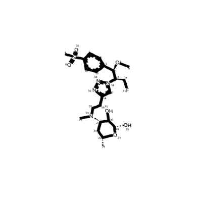 CO[C@H](c1ccc(S(C)(=O)=O)cc1)[C@@H](CF)n1cc(CCN(C)[C@H]2C[C@@H](C)O[C@@H](O)C2O)nn1